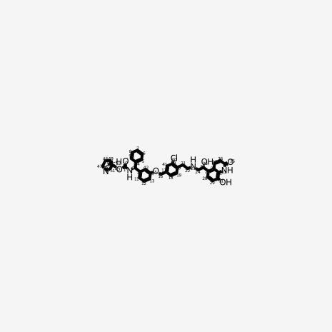 O=C(N[C@@H](c1ccccc1)c1cccc(OCc2ccc(CCNC[C@H](O)c3ccc(O)c4[nH]c(=O)ccc34)c(Cl)c2)c1)O[C@H]1CN2CCC1CC2